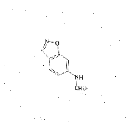 O=[C]Nc1ccc2cnoc2c1